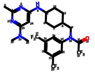 Cc1nc(NC2CCC(CN(C(=O)C(F)(F)F)c3cc(C(F)(F)F)cc(C(F)(F)F)c3)CC2)cc(N(C)C)n1